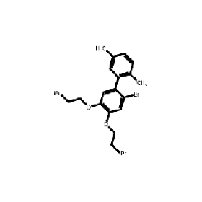 Cc1ccc(C)c(-c2cc(OCCC(C)C)c(OCCC(C)C)cc2Br)c1